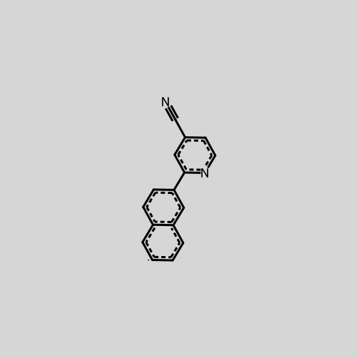 N#Cc1ccnc(-c2ccc3c[c]ccc3c2)c1